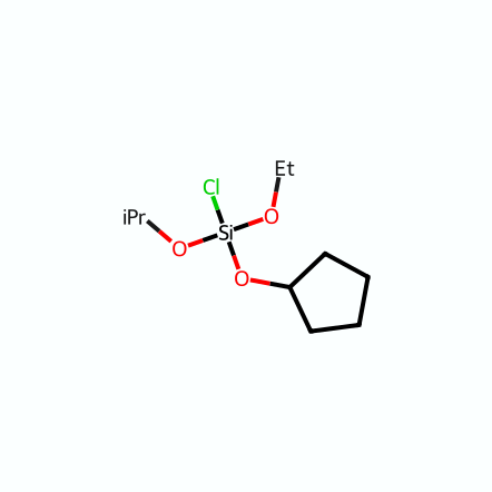 CCO[Si](Cl)(OC(C)C)OC1CCCC1